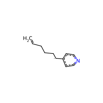 C=CCCC[CH]c1ccncc1